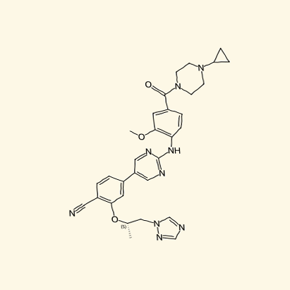 COc1cc(C(=O)N2CCN(C3CC3)CC2)ccc1Nc1ncc(-c2ccc(C#N)c(O[C@@H](C)Cn3cncn3)c2)cn1